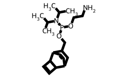 CC(C)N(C(C)C)P(OCCN)OCC1CC2C=CC1C1C=CC21